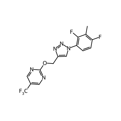 Cc1c(F)ccc(-n2cc(COc3ncc(C(F)(F)F)cn3)nn2)c1F